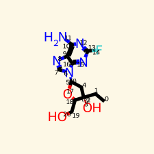 CC[C@]1(O)C[C@H](n2cnc3c(N)nc(F)nc32)OC1CO